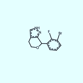 Fc1c(Br)cccc1C1OCCc2c[nH]nc21